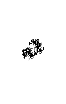 CC(CNC[C@H]1CN(c2cnc3c(n2)NC(=O)CS3)C(=O)O1)COc1c(F)ccc2ccc(=O)n(C)c12